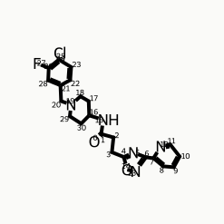 O=C(CCc1nc(-c2ccccn2)no1)NC1CCN(Cc2ccc(Cl)c(F)c2)CC1